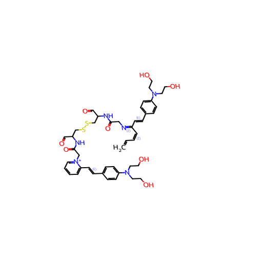 C=C\C=C/C(/C=C/c1ccc(N(CCO)CCO)cc1)=N/CC(=O)NC(C=O)CSSCC(C=O)NC(=O)C[n+]1ccccc1/C=C/c1ccc(N(CCO)CCO)cc1